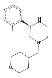 Cc1ccccc1[C@@H]1CN(CC2CCOCC2)CCN1